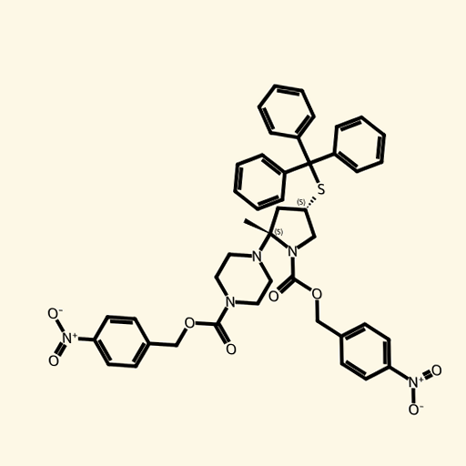 C[C@@]1(N2CCN(C(=O)OCc3ccc([N+](=O)[O-])cc3)CC2)C[C@H](SC(c2ccccc2)(c2ccccc2)c2ccccc2)CN1C(=O)OCc1ccc([N+](=O)[O-])cc1